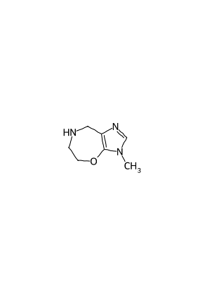 Cn1cnc2c1OCCNC2